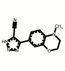 CN1CCOc2cc(-c3nn[nH]c3C#N)ccc21